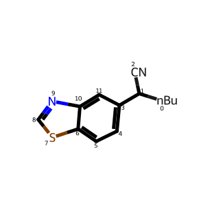 CCCCC(C#N)c1ccc2scnc2c1